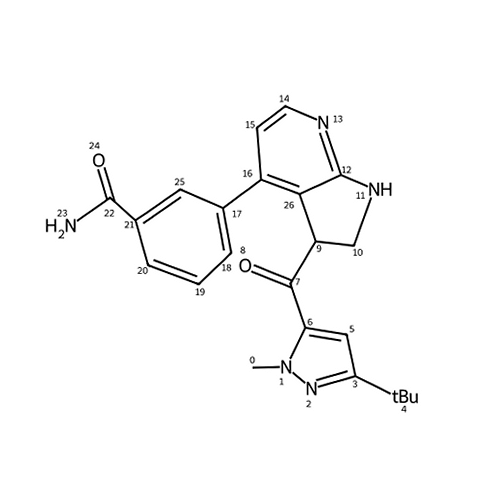 Cn1nc(C(C)(C)C)cc1C(=O)C1CNc2nccc(-c3cccc(C(N)=O)c3)c21